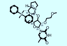 CC[C@H]1O[C@@H](n2cc(C)c(=O)[nH]c2=O)[C@@H](OCCOC)C1O[P@@]1O[C@H](C[Si](C)(c2ccccc2)c2ccccc2)[C@@H]2CCCN21